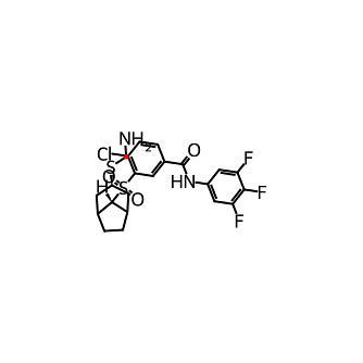 NCS[C@H]1CC2CCC(C1)[C@@H]2S(=O)(=O)c1cc(C(=O)Nc2cc(F)c(F)c(F)c2)ccc1Cl